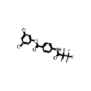 O=C(Oc1cc(Cl)cc(Cl)c1)c1ccc(NC(=O)C(F)(F)C(F)(F)F)cc1